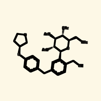 CC(=O)OC[C@H]1O[C@@H](c2cc(Cc3ccc(O[C@H]4CCOC4)cc3)ccc2CO)[C@H](OC(C)=O)[C@@H](OC(C)=O)[C@@H]1OC(C)=O